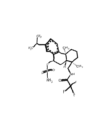 CC(C)c1ccc2c(c1)[C@H](OS(N)(=O)=O)C[C@H]1[C@](C)(CNC(=O)C(F)(F)F)CCC[C@]21C